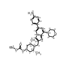 C[C@@H]1CN(OC(=O)OC(C)(C)C)C[C@H](C)N1Cc1cn2cc(-c3cnc(N)nc3)nc(N3CCOCC3)c2n1